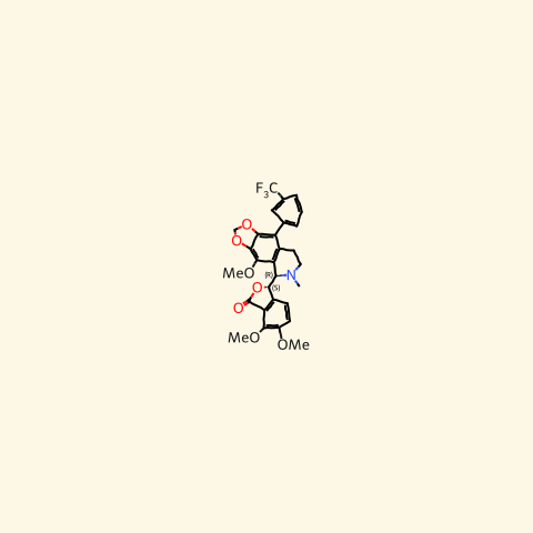 COc1ccc2c(c1OC)C(=O)O[C@@H]2[C@H]1c2c(c(-c3cccc(C(F)(F)F)c3)c3c(c2OC)OCO3)CCN1C